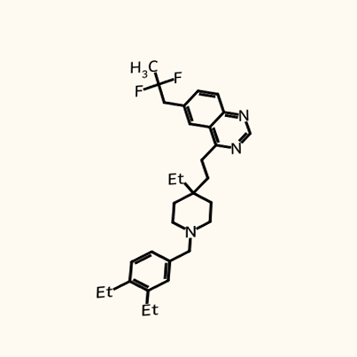 CCc1ccc(CN2CCC(CC)(CCc3ncnc4ccc(CC(C)(F)F)cc34)CC2)cc1CC